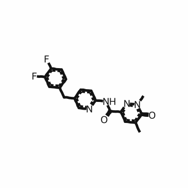 Cc1cc(C(=O)Nc2ccc(Cc3ccc(F)c(F)c3)cn2)nn(C)c1=O